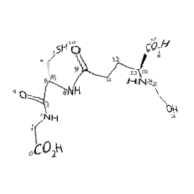 O=C(O)CNC(=O)[C@H](CS)NC(=O)CC[C@H](NCO)C(=O)O